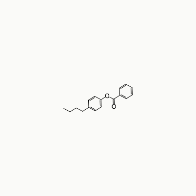 CCCCc1ccc(OC(=O)c2ccccc2)cc1